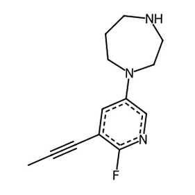 CC#Cc1cc(N2CCCNCC2)cnc1F